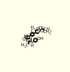 CCc1nc(C(N)=O)c(Nc2ccc(C3CCN(C(=O)OC(C)(C)C)CC3)c(C)c2)nc1N[C@H]1CC[C@H](O)CC1